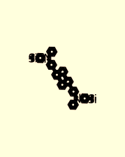 C[Si](C)(C)c1ccc(N(c2ccccc2)c2ccc(-c3ccc4c5cccc6c(-c7ccc(N(c8ccccc8)c8ccc([Si](C)(C)C)cc8)cc7)ccc(c7cccc3c74)c65)cc2)cc1